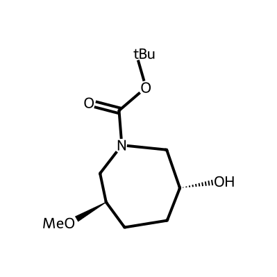 CO[C@@H]1CC[C@@H](O)CN(C(=O)OC(C)(C)C)C1